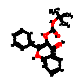 CC(C)(C)OC(=O)Oc1c(-c2ccccc2)oc2ccccc2c1=O